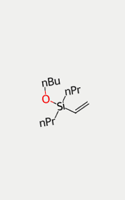 C=C[Si](CCC)(CCC)OCCCC